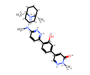 CN(c1ccc(-c2ccc(-c3cnn(C)c(=O)c3)cc2O)nn1)[C@H]1C[C@]2(C)CCC[C@](C)(C1)N2